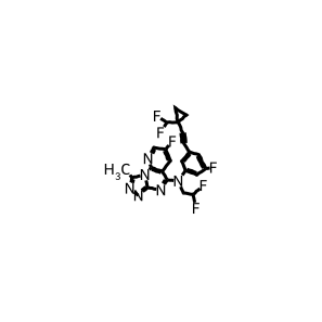 Cc1nnc2nc(N(CC(F)F)c3cc(F)cc(C#CC4(C(F)F)CC4)c3)c3cc(F)cnc3n12